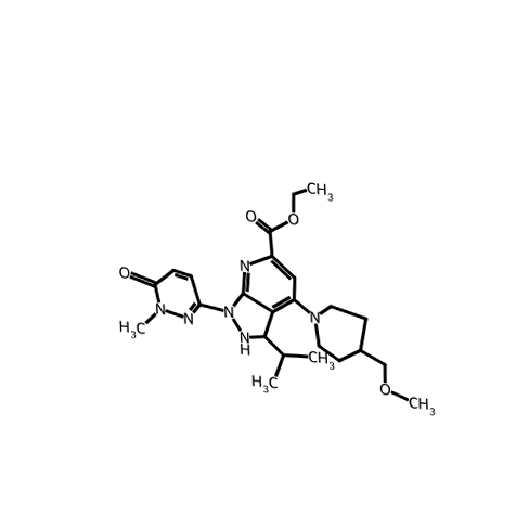 CCOC(=O)c1cc(N2CCC(COC)CC2)c2c(n1)N(c1ccc(=O)n(C)n1)NC2C(C)C